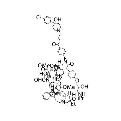 CC(C)NCC(O)COc1ccc(CC(N)=O)cc1.CC[C@]1(O)C[C@H]2C[N@](CCc3c([nH]c4ccccc34)[C@@](C(=O)OC)(c3cc4c(cc3OC)N(C=O)[C@H]3[C@@](O)(C(=O)OC)[C@H](OC(C)=O)[C@]5(CC)C=CCN6CC[C@]43[C@@H]65)C2)C1.O=C(CCCN1CCC(O)(c2ccc(Cl)cc2)CC1)c1ccc(F)cc1